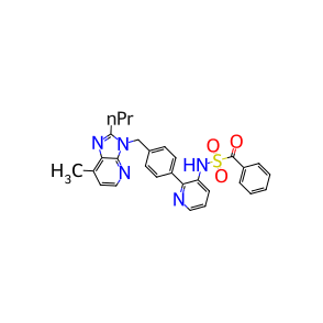 CCCc1nc2c(C)ccnc2n1Cc1ccc(-c2ncccc2NS(=O)(=O)C(=O)c2ccccc2)cc1